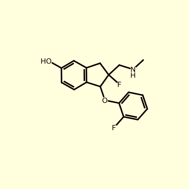 CNCC1(F)Cc2cc(O)ccc2C1Oc1ccccc1F